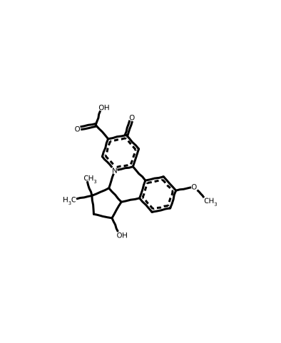 COc1ccc2c(c1)-c1cc(=O)c(C(=O)O)cn1C1C2C(O)CC1(C)C